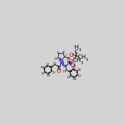 CC(C)(C)OC(=O)C1CCCN1N(C(=O)Cc1ccccc1)C(Cc1ccccc1)N=O